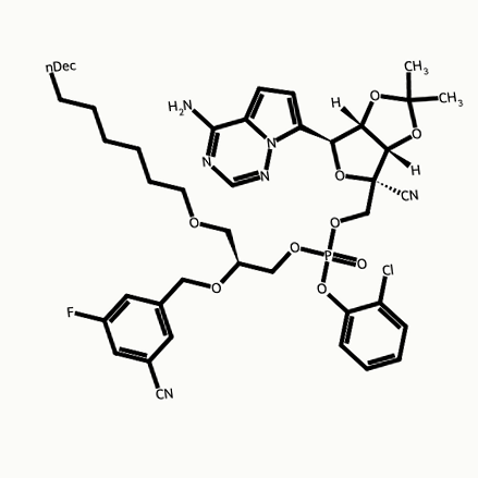 CCCCCCCCCCCCCCCCOC[C@@H](COP(=O)(OC[C@@]1(C#N)O[C@@H](c2ccc3c(N)ncnn23)[C@@H]2OC(C)(C)O[C@@H]21)Oc1ccccc1Cl)OCc1cc(F)cc(C#N)c1